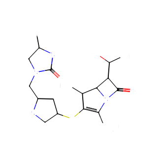 CC1CN(CC2CC(SC3=C(C(=O)O)N4C(=O)C(C(C)O)C4C3C)CN2)C(=O)N1